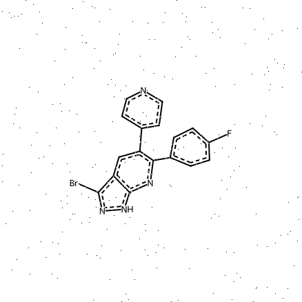 Fc1ccc(-c2nc3[nH]nc(Br)c3cc2-c2ccncc2)cc1